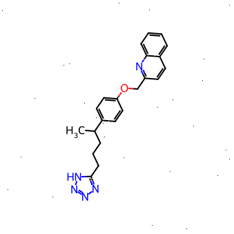 CC(CCCc1nnn[nH]1)c1ccc(OCc2ccc3ccccc3n2)cc1